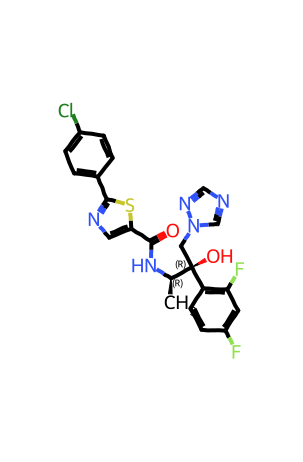 C[C@@H](NC(=O)c1cnc(-c2ccc(Cl)cc2)s1)[C@](O)(Cn1cncn1)c1ccc(F)cc1F